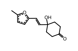 Cc1ccc(/C=C/C2(O)CCC(=O)CC2)o1